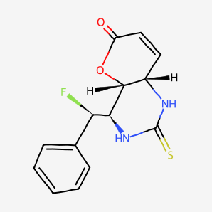 O=C1C=C[C@@H]2NC(=S)N[C@@H]([C@H](F)c3ccccc3)[C@@H]2O1